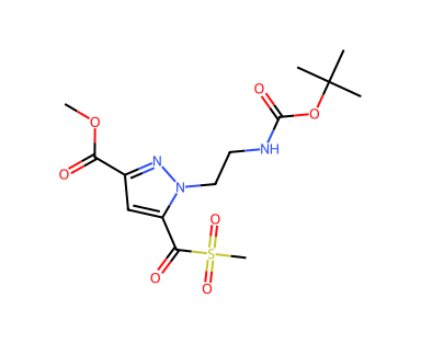 COC(=O)c1cc(C(=O)S(C)(=O)=O)n(CCNC(=O)OC(C)(C)C)n1